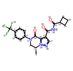 C[C@H]1CN(c2ccc(C(F)(F)F)cc2)C(=O)c2c(C(=O)NC(=O)C3CCC3)cnn21